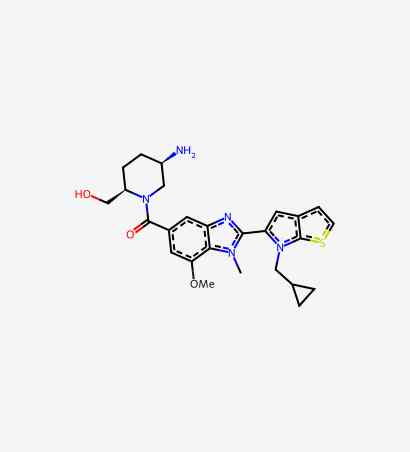 COc1cc(C(=O)N2C[C@H](N)CC[C@@H]2CO)cc2nc(-c3cc4ccsc4n3CC3CC3)n(C)c12